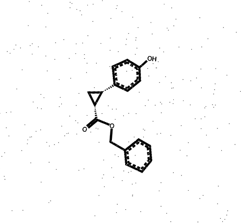 O=C(OCc1ccccc1)[C@@H]1C[C@@H]1c1ccc(O)cc1